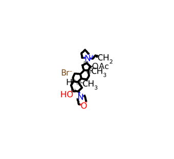 C=CC[N+]1([C@H]2CC3C4CC[C@H]5C[C@H](O)C(N6CCOCC6)C[C@]5(C)C4CC[C@]3(C)[C@H]2OC(C)=O)CCCC1.[Br-]